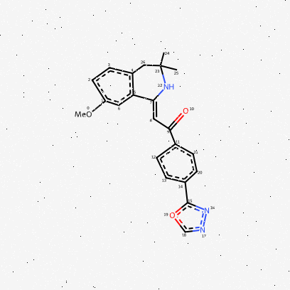 COc1ccc2c(c1)C(=CC(=O)c1ccc(-c3nnco3)cc1)NC(C)(C)C2